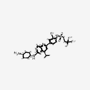 CC(C)c1cc(-c2ccc(NS(=O)(=O)CCC(F)(F)F)c(F)c2)nc2cnc(N[C@H]3CC[C@H](N)CC3)nc12